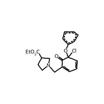 CCOC(=O)C1CCN(CC2=CC=CC(Cl)(Oc3ccccc3)C2=O)C1